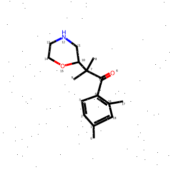 Cc1ccc(C(=O)C(C)(C)C2CNCCO2)c(C)c1